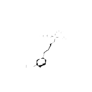 CC(=O)O[Si](CCCCc1cccc(C(F)(F)F)c1)(OC(C)=O)OC(C)=O